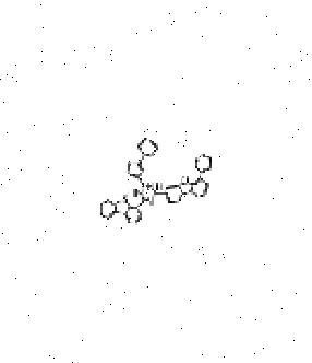 c1ccc(-c2cccc(C3NC(c4cccc5c4sc4ccccc45)=NC(c4ccc5c(c4)oc4c(-c6ccccc6)cccc45)N3)c2)cc1